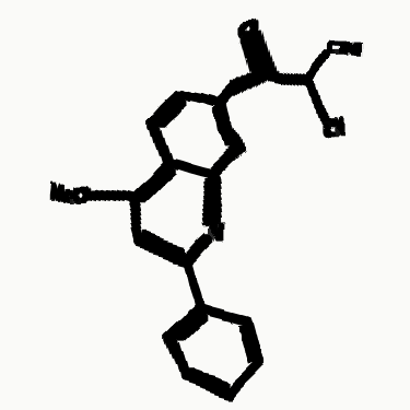 COc1cc(-c2ccccc2)nc2cc(C(=O)C(C#N)C#N)ccc12